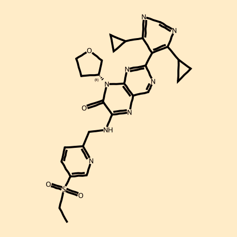 CCS(=O)(=O)c1ccc(CNc2nc3cnc(-c4c(C5CC5)ncnc4C4CC4)nc3n([C@@H]3CCOC3)c2=O)nc1